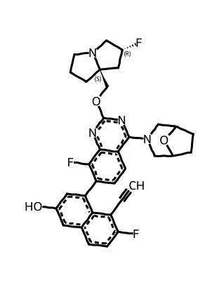 C#Cc1c(F)ccc2cc(O)cc(-c3ccc4c(N5CC6CCC(C5)O6)nc(OC[C@@]56CCCN5C[C@H](F)C6)nc4c3F)c12